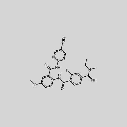 C#Cc1ccc(NC(=O)c2cc(OC)ccc2NC(=O)c2ccc(C(=N)N(C)CC)cc2F)nc1